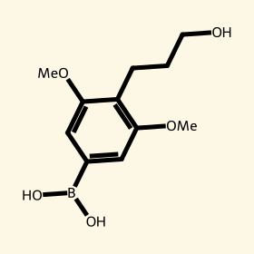 COc1cc(B(O)O)cc(OC)c1CCCO